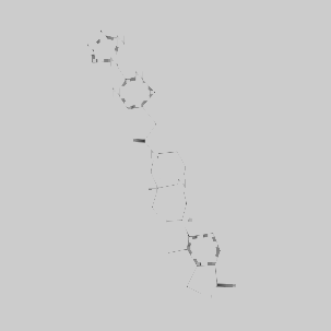 Cc1c([C@@H]2CN3CCN(C(=O)Cc4cnc(-n5cnnn5)nc4)C[C@H]3CO2)ccc2c1COC2=O